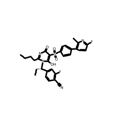 CCCCc1nc(=O)c(S(=O)(=O)c2ccc(-c3ccc(F)nc3C)cc2)c(O)n1[C@@H](CC)c1ccc(C#N)c(F)c1